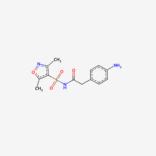 Cc1noc(C)c1S(=O)(=O)NC(=O)Cc1ccc(N)cc1